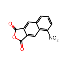 O=C1OC(=O)c2cc3c([N+](=O)[O-])cccc3cc21